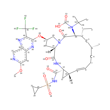 CC[C@@H]1C[C@H](C)CC/C=C\[C@@H]2C[C@@]2(C(=O)NS(=O)(=O)C2CC2)NC(=O)[C@@H]2C[C@@H](Oc3nc4cc(OC)ncc4nc3C(F)(F)F)CN2C(=O)[C@H]1N(C(=O)O)C(C)(C)C